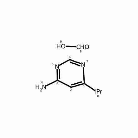 CC(C)c1cc(N)ncn1.O=CO